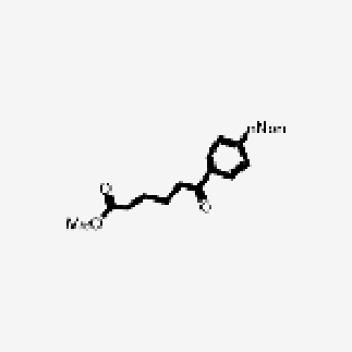 CCCCCCCCCc1ccc(C(=O)CCCCC(=O)OC)cc1